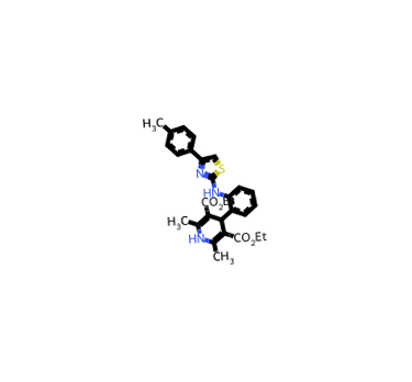 CCOC(=O)C1=C(C)NC(C)=C(C(=O)OCC)C1c1ccccc1Nc1nc(-c2ccc(C)cc2)cs1